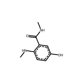 CNC(=O)c1cc(O)ccc1NC